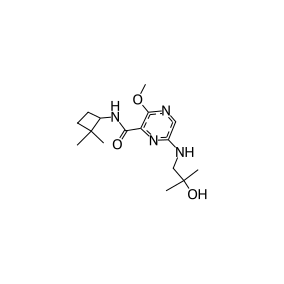 COc1ncc(NCC(C)(C)O)nc1C(=O)NC1CCC1(C)C